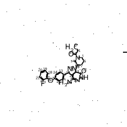 C=CC(=O)N1CCC[C@@H](n2nc(-c3ccc(Oc4ccccc4F)cc3)c3c(N)n[nH]c(=O)c32)C1